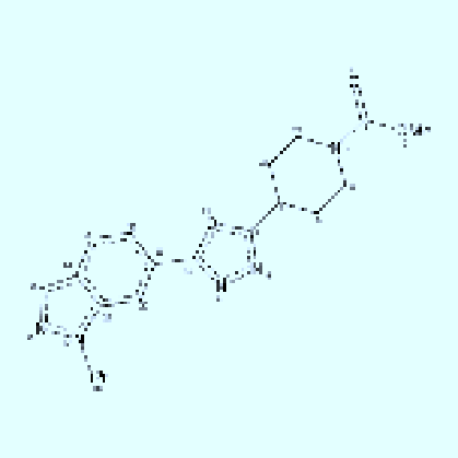 COC(=O)N1CCC(c2nnc(-c3ccc4cnn(C(C)C)c4c3)o2)CC1